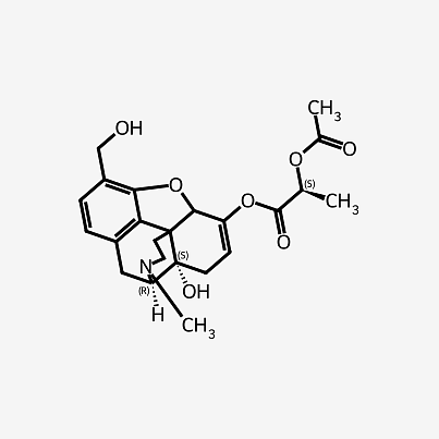 CC(=O)O[C@@H](C)C(=O)OC1=CC[C@@]2(O)[C@H]3Cc4ccc(CO)c5c4C2(CCN3C)C1O5